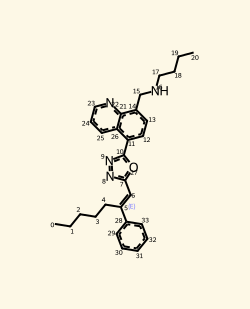 CCCCC/C(=C\c1nnc(-c2ccc(CNCCCC)c3ncccc23)o1)c1ccccc1